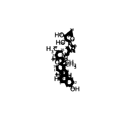 CC1=C2C[C@H]3[C@@H](CC=C4C[C@@H](O)CC[C@@]43C)[C@@H]2CC[C@]12O[C@@H]1C[C@H](C)CN(Cc3cn(C4OC5C[C@@H]5[C@H](O)C4O)nn3)[C@H]1[C@H]2C